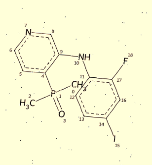 CP(C)(=O)c1ccncc1Nc1ccc(I)cc1F